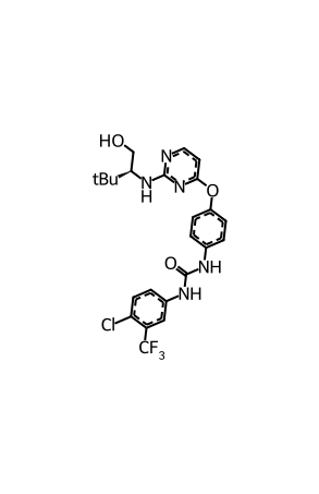 CC(C)(C)[C@@H](CO)Nc1nccc(Oc2ccc(NC(=O)Nc3ccc(Cl)c(C(F)(F)F)c3)cc2)n1